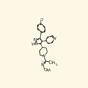 C/C(=N\O)N1CCC(c2[nH]nc(-c3ccc(Cl)cc3)c2-c2ccncc2)CC1